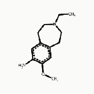 CCN1CCc2cc(N)c(OC)cc2CC1